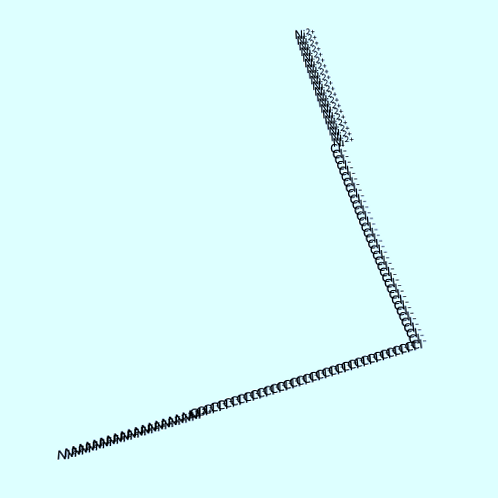 [Cl-].[Cl-].[Cl-].[Cl-].[Cl-].[Cl-].[Cl-].[Cl-].[Cl-].[Cl-].[Cl-].[Cl-].[Cl-].[Cl-].[Cl-].[Cl-].[Cl-].[Cl-].[Cl-].[Cl-].[Cl-].[Cl-].[Cl-].[Cl-].[Cl-].[Cl-].[Cl-].[Cl-].[Cl-].[Cl-].[Cl-].[Cl-].[Cl-].[Cl-].[Cl-].[Cl-].[Cl-].[Cl-].[Cl-].[Cl-].[Cl-].[Cl-].[Cl-].[Cl-].[Cl-].[Cl-].[Cl-].[Cl-].[Cl-].[Cl-].[Cl-].[Cl-].[Cl-].[Cl-].[Cl-].[Cl-].[Cl-].[Cl-].[Cl-].[Cl-].[Cl-].[Cl-].[Cl-].[Cl-].[Cl-].[Cl-].[Cl-].[Cl-].[Cl-].[Cl-].[Ni+2].[Ni+2].[Ni+2].[Ni+2].[Ni+2].[Ni+2].[Ni+2].[Ni+2].[Ni+2].[Ni+2].[Ni+2].[Ni+2].[Ni+2].[Ni+2].[Ni+2].[Ni+2].[Ni+2].[Ni+2].[Ni+2].[Ni+2].[Ni+2].[Ni+2].[Ni+2].[Ni+2].[Ni+2].[Ni+2].[Ni+2].[Ni+2].[Ni+2].[Ni+2].[Ni+2].[Ni+2].[Ni+2].[Ni+2].[Ni+2].[Ni+2].[Ni+2].[Ni+2].[Ni+2].[Ni+2]